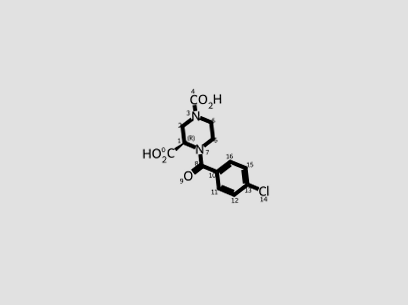 O=C(O)[C@H]1CN(C(=O)O)CCN1C(=O)c1ccc(Cl)cc1